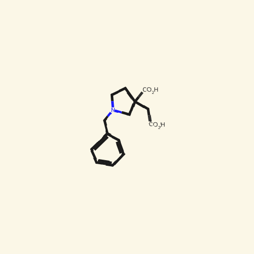 O=C(O)CC1(C(=O)O)CCN(Cc2ccccc2)C1